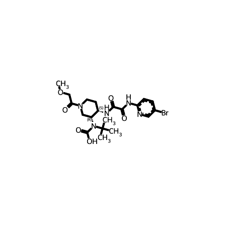 COCC(=O)N1CC[C@H](NC(=O)C(=O)Nc2ccc(Br)cn2)[C@H](N(C(=O)O)C(C)(C)C)C1